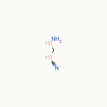 N#CBCBN